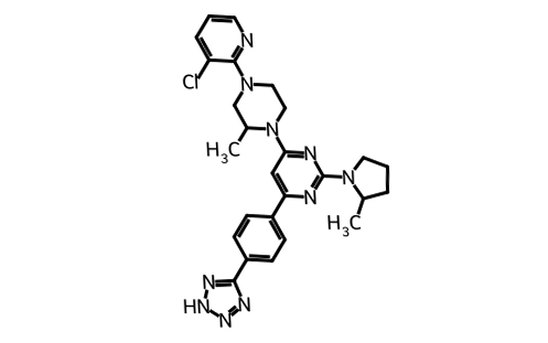 CC1CN(c2ncccc2Cl)CCN1c1cc(-c2ccc(-c3nn[nH]n3)cc2)nc(N2CCCC2C)n1